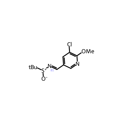 COc1ncc(/C=N/[S+]([O-])C(C)(C)C)cc1Cl